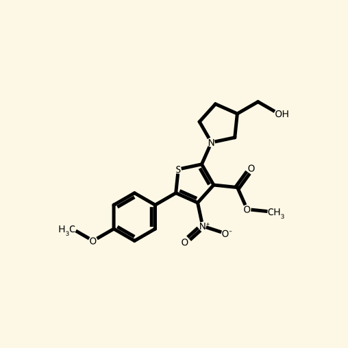 COC(=O)c1c(N2CCC(CO)C2)sc(-c2ccc(OC)cc2)c1[N+](=O)[O-]